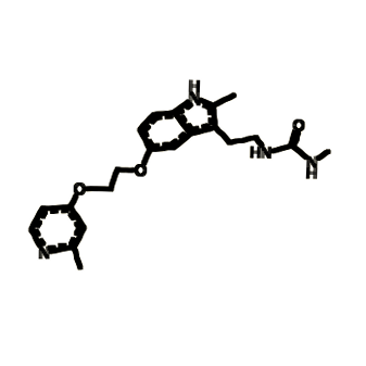 CNC(=O)NCCc1c(C)[nH]c2ccc(OCCOc3ccnc(C)c3)cc12